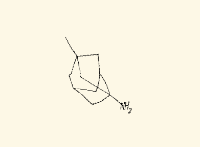 CC12CC3CC(C1)C(N)(C3)C2